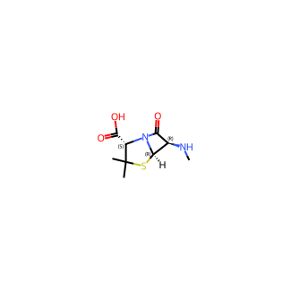 CN[C@@H]1C(=O)N2[C@@H]1SC(C)(C)[C@@H]2C(=O)O